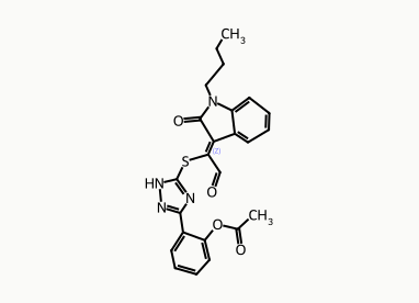 CCCCN1C(=O)/C(=C(/C=O)Sc2nc(-c3ccccc3OC(C)=O)n[nH]2)c2ccccc21